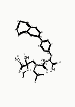 CCOC(O)(CN(CC(C)C)C(=O)NC(Cc1ccc(-c2ccc3ccccc3c2)cc1)C(=O)O)C(=O)O